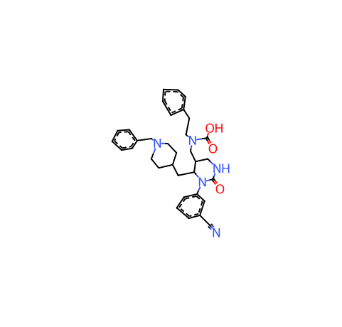 N#Cc1cccc(N2C(=O)NCC(CN(CCc3ccccc3)C(=O)O)C2CC2CCN(Cc3ccccc3)CC2)c1